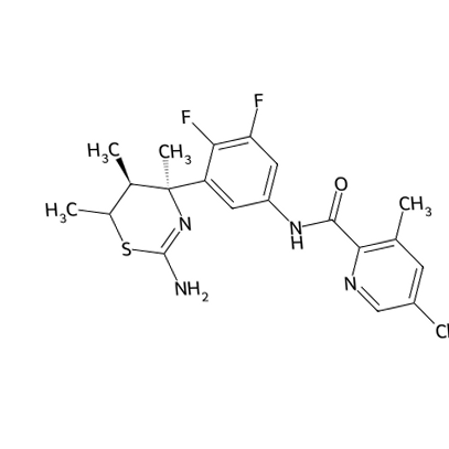 Cc1cc(Cl)cnc1C(=O)Nc1cc(F)c(F)c([C@@]2(C)N=C(N)SC(C)[C@H]2C)c1